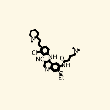 CCOc1cc2c(cc1NC(=O)CCCN(C)C)C(Nc1ccc(CCC3CCCCN3C)c(Cl)c1)C(C#N)C=N2